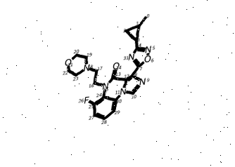 CC1CC1c1noc(-c2ncn3c2c(=O)n(CCN2CCOCC2)c2c(F)cccc23)n1